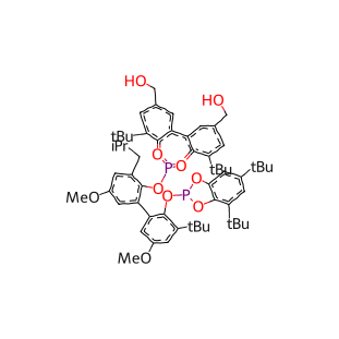 COc1cc(CC(C)C)c(Op2oc3c(C(C)(C)C)cc(CO)cc3c3cc(CO)cc(C(C)(C)C)c3o2)c(-c2cc(OC)cc(C(C)(C)C)c2OP2Oc3cc(C(C)(C)C)cc(C(C)(C)C)c3O2)c1